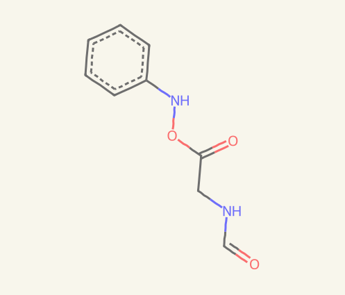 O=CNCC(=O)ONc1ccccc1